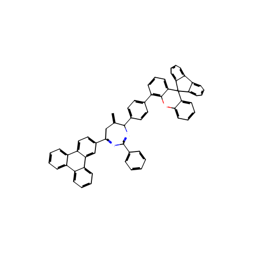 C=C1CC(c2ccc3c4ccccc4c4ccccc4c3c2)=NC(c2ccccc2)=NC1c1ccc(-c2cccc3c2Oc2ccccc2C32c3ccccc3-c3ccccc32)cc1